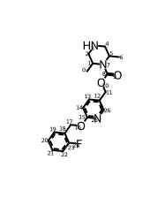 CC1CNCC(C)N1C(=O)OCc1ccc(OCc2ccccc2F)nc1